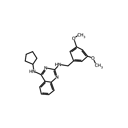 COc1cc(CNc2nc(NC3CCCC3)c3ccccc3n2)cc(OC)c1